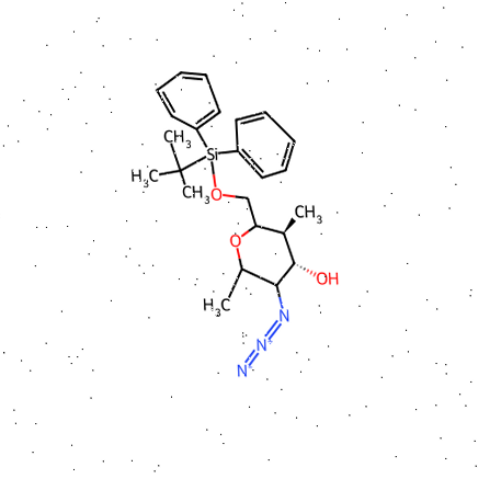 CC1OC(CO[Si](c2ccccc2)(c2ccccc2)C(C)(C)C)[C@@H](C)[C@H](O)C1N=[N+]=[N-]